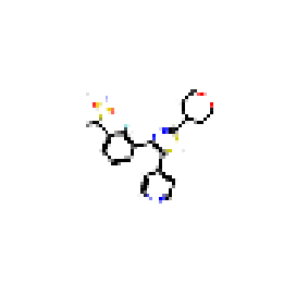 CCC(c1cccc(-c2nc(C3CCOCC3)sc2-c2ccncc2)c1F)S(N)(=O)=O